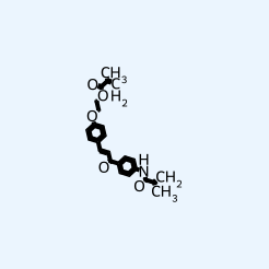 C=C(C)C(=O)Nc1ccc(C(=O)/C=C/c2ccc(OCCOC(=O)C(=C)C)cc2)cc1